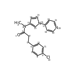 CN(C(=O)CCc1ccc(Cl)cc1)c1cnn(-c2ccncc2)c1